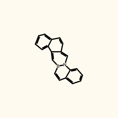 C1=Cc2ccccc2N2C=c3ccc4ccccc4c3=CB12